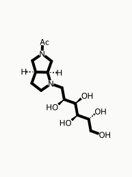 CC(=O)N1C[C@@H]2CCN(C[C@H](O)[C@@H](O)[C@H](O)[C@H](O)CO)[C@@H]2C1